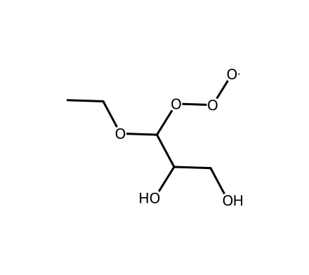 CCOC(OO[O])C(O)CO